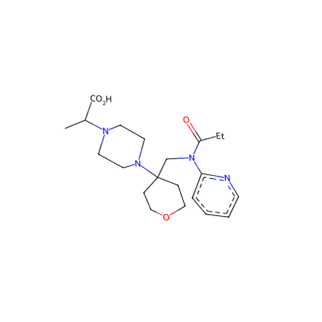 CCC(=O)N(CC1(N2CCN(C(C)C(=O)O)CC2)CCOCC1)c1ccccn1